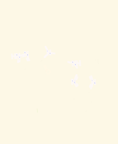 Cc1nc2cc(F)c(F)cc2nc1NCC1CCCCN1C(=O)c1n[nH]cc1-c1ccc(F)cc1